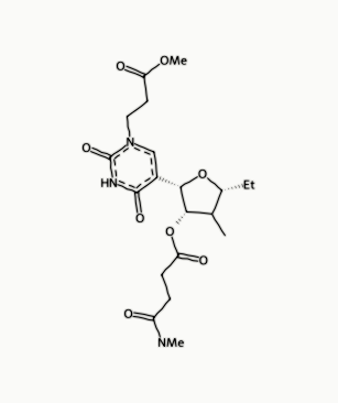 CC[C@H]1O[C@@H](c2cn(CCC(=O)OC)c(=O)[nH]c2=O)[C@@H](OC(=O)CCC(=O)NC)C1C